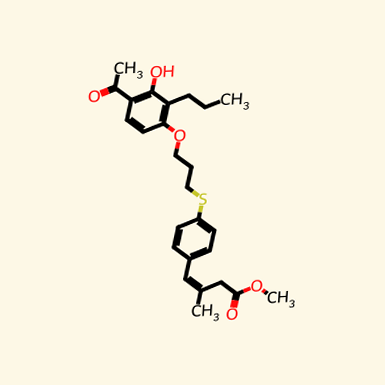 CCCc1c(OCCCSc2ccc(/C=C(/C)CC(=O)OC)cc2)ccc(C(C)=O)c1O